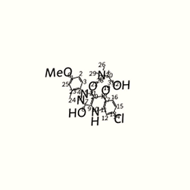 COc1ccc(-n2nc(O)c3[nH]c4cc(Cl)ccc4c(=O)c3c2=O)c(C)c1.C[N+](C)(C)CCO